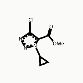 COC(=O)c1c(Cl)nnn1C1CC1